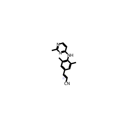 Cc1nccc(Nc2c(C)cc(/C=C/C#N)cc2C)n1